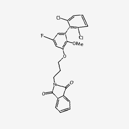 COc1c(OCCCN2C(=O)c3ccccc3C2=O)cc(F)cc1-c1c(Cl)cccc1Cl